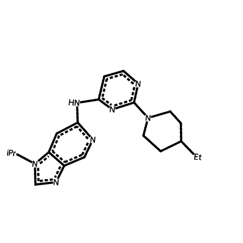 CCC1CCN(c2nccc(Nc3cc4c(cn3)ncn4C(C)C)n2)CC1